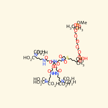 CO[PH](=O)OC(C)(C)COCCOCCOCCOCCOCCOP(O)OC(C)(C)CCCCCSC1CC(=O)N(CCC(=O)NC(COCCC(=O)NCCCCC(C(=O)O)N(CC(=O)O)CC(=O)O)(COCCC(=O)NCCCCC(C(=O)O)N(CC(=O)O)CC(=O)O)COCCC(=O)NCCCCC(C(=O)O)N(CC(=O)O)CC(=O)O)C1=O